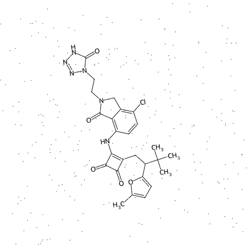 Cc1ccc(C(Cc2c(Nc3ccc(Cl)c4c3C(=O)N(CCn3nn[nH]c3=O)C4)c(=O)c2=O)C(C)(C)C)o1